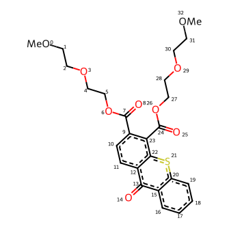 COCCOCCOC(=O)c1ccc2c(=O)c3ccccc3sc2c1C(=O)OCCOCCOC